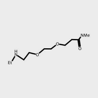 CCNCCOCCOCCC(=O)NC